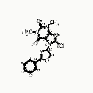 Cn1c(=O)c2c(nc(Cl)n2C2COC(c3ccccc3)=N2)n(C)c1=O